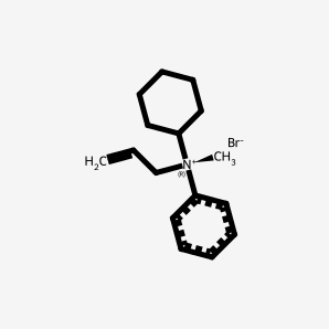 C=CC[N@@+](C)(c1ccccc1)C1CCCCC1.[Br-]